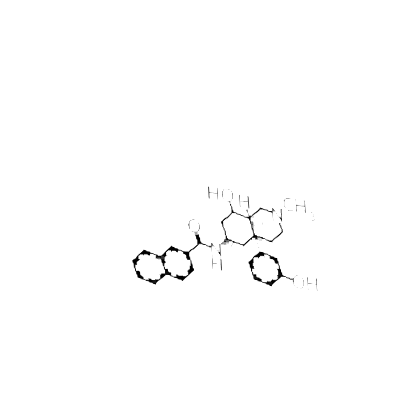 CN1CC[C@@]2(c3cccc(O)c3)C[C@@H](NC(=O)c3ccc4ccccc4c3)CC(O)[C@@H]2C1